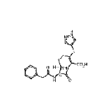 O=C(Cc1ccccc1)N[C@@H]1C(=O)N2C(C(=O)O)=C(Sc3cn[nH]c3)CS[C@H]12